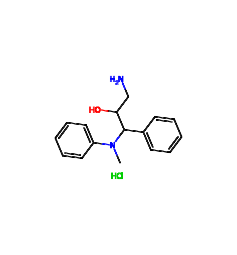 CN(c1ccccc1)C(c1ccccc1)C(O)CN.Cl